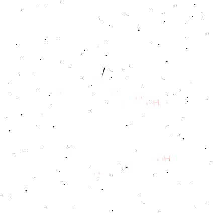 O=C1/C=C/CC/C=C/C[C@@H](c2ccccc2)OC(=O)c2c(O)cc(O)c(Cl)c2C1